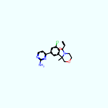 C=CC(=O)N1CCOCC1(C)c1cc(Cl)cc(-c2ccnc(N)n2)c1